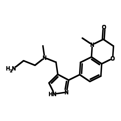 CN(CCN)Cc1c[nH]nc1-c1ccc2c(c1)N(C)C(=O)CO2